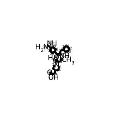 CC(C)(CC(=O)N1CCC(CC(=O)O)CC1)NC(Cc1ccccc1)C(=O)c1ccc(C(=N)N)cc1